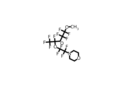 COC(F)(F)C(F)(F)C(=O)C(F)(OC(F)(F)C(F)(F)N1CCOCC1)C(F)(F)F